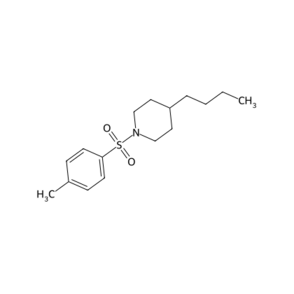 CCCCC1CCN(S(=O)(=O)c2ccc(C)cc2)CC1